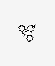 CN1CCC2(c3ccccc3O)Oc3ccccc3C2C1